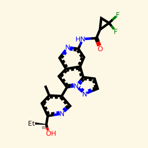 CC[C@H](O)c1cc(C)c(-c2cc3cnc(NC(=O)C4CC4(F)F)cc3c3ccnn23)cn1